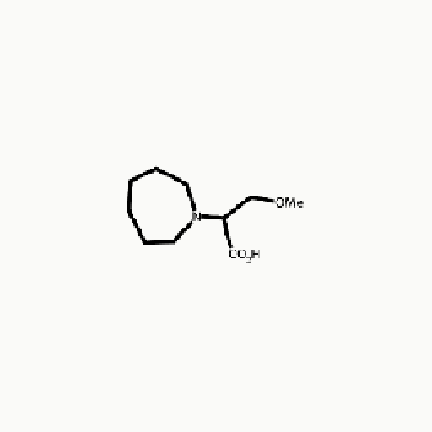 COCC(C(=O)O)N1CCCCCC1